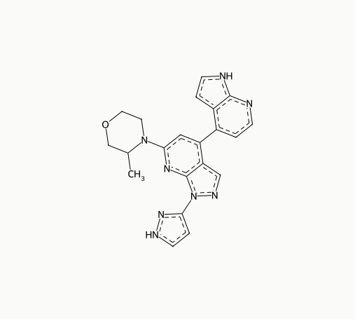 CC1COCCN1c1cc(-c2ccnc3[nH]ccc23)c2cnn(-c3cc[nH]n3)c2n1